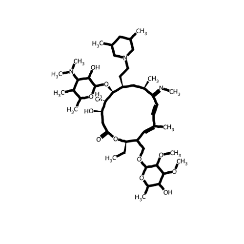 CC[C@H]1OC(=O)C[C@@H](O)[C@H](C)[C@@H](OC2OC(C)C(C)C(N(C)C)C2O)[C@@H](CCN2CC(C)CC(C)C2)C[C@@H](C)C(=NC)/C=C/C(C)=C/C1COC1OC(C)C(O)C(OC)C1OC